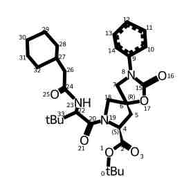 CC(C)(C)OC(=O)[C@@H]1C[C@]2(CN(c3ccccc3)C(=O)O2)CN1C(=O)C(NC(=O)CC1CCCCC1)C(C)(C)C